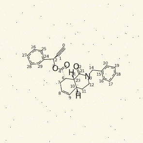 C#C[C@@H](OC(=O)[C@H]1CC=C[C@H]2CCN(Cc3ccccc3)C(=O)[C@@H]12)c1ccccc1